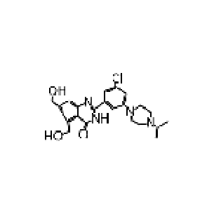 CC(C)N1CCN(c2cc(Cl)cc(-c3nc4cc(CO)cc(CO)c4c(=O)[nH]3)c2)CC1